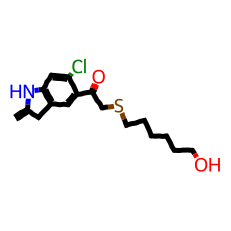 C=C1Cc2cc(C(=O)CSCCCCCCO)c(Cl)cc2N1